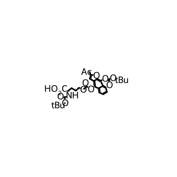 CC(=O)c1cc2c(OC(=O)OCCC[C@H](NC(=O)OC(C)(C)C)C(=O)O)c3ccccc3c(OC(=O)OC(C)(C)C)c2o1